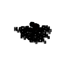 CC(C)(C)c1ccc(N2c3cc4oc5ccccc5c4c(-c4cc5sc6cc7c(cc6c5cc4Nc4ccc5c(c4)C(C)(C)CCC5(C)C)C(C)(C)CCC7(C)C)c3Bc3oc4cc5c(cc4c32)C(C)(C)CCC5(C)C)c(-c2ccccc2)c1